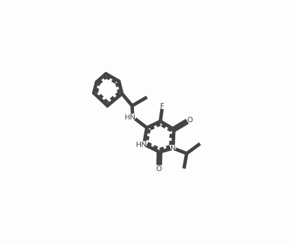 CC(Nc1[nH]c(=O)n(C(C)C)c(=O)c1F)c1ccccc1